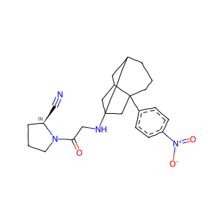 N#C[C@@H]1CCCN1C(=O)CNC12CC3CC1CCCC3(c1ccc([N+](=O)[O-])cc1)C2